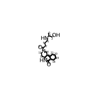 CC(CO)NCCCC(=O)N1CCc2[nH]c(=O)c3ccccc3c2C1